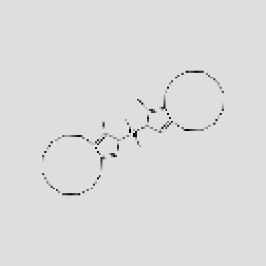 CC1=C2CCCCCCCCCCC2=CC1[Si](C)(C)C1C=C2CCCCCCCCCCC2=C1C